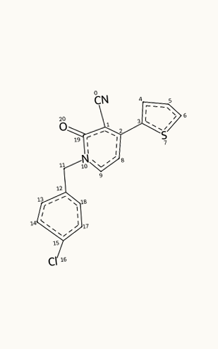 N#Cc1c(-c2cccs2)ccn(Cc2ccc(Cl)cc2)c1=O